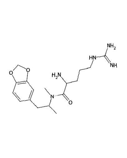 CC(Cc1ccc2c(c1)OCO2)N(C)C(=O)C(N)CCCNC(=N)N